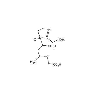 CCCCCCCCCCCC1=NCC[N+]1([O-])C(CC(C)OCC(=O)O)C(=O)O